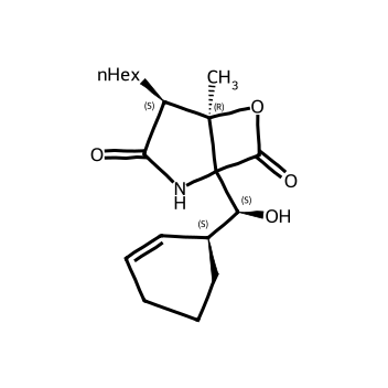 CCCCCC[C@@H]1C(=O)NC2([C@@H](O)[C@@H]3C=CCCC3)C(=O)O[C@]12C